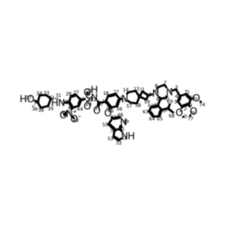 COc1cc(CN2CCN(C3CC4(CCN(c5ccc(C(=O)NS(=O)(=O)c6ccc(NC[C@H]7CC[C@](C)(O)CC7)c([N+](=O)[O-])c6)c(Oc6cnc7[nH]ccc7c6)c5)CC4)C3)C(c3ccccc3C(C)C)C2)cc(OC)c1OC